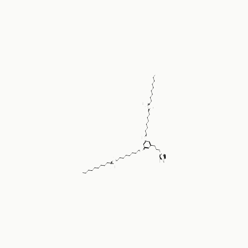 CCCCCCCCCC(=O)OCCCCCCCCOc1cc(CCCn2ccnc2)cc(OCCCCCCCCOC(=O)CCCCCCCCC)c1